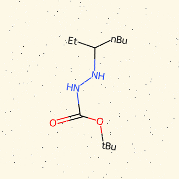 CCCCC(CC)NNC(=O)OC(C)(C)C